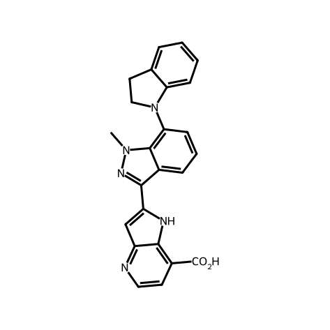 Cn1nc(-c2cc3nccc(C(=O)O)c3[nH]2)c2cccc(N3CCc4ccccc43)c21